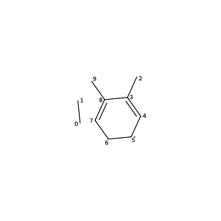 CC.CC1=C[CH]CC=C1C